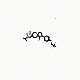 CC(C)[S+]([O-])C[C@]1(O)CC[C@]2(CCN(c3ccc(OCC(F)(F)F)cc3)C2=O)CC1